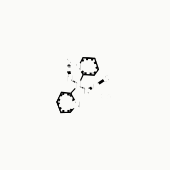 S=C=N[N+](N=C=S)(c1ccccn1)c1ccccn1.[Co]